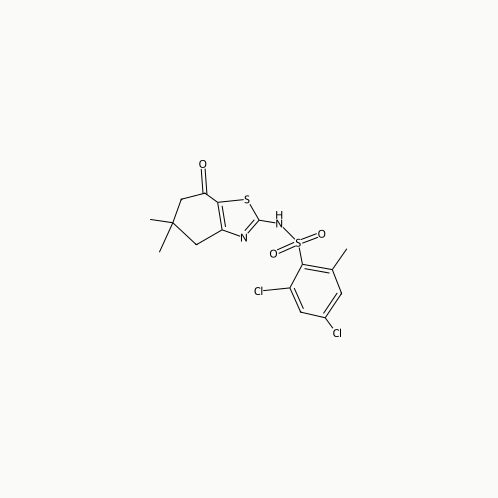 Cc1cc(Cl)cc(Cl)c1S(=O)(=O)Nc1nc2c(s1)C(=O)CC(C)(C)C2